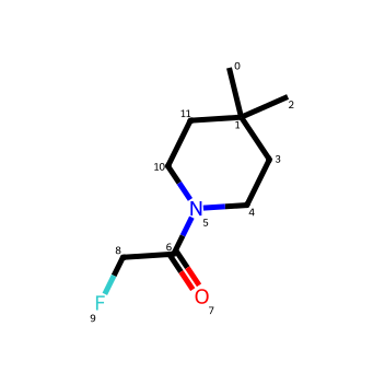 CC1(C)CCN(C(=O)CF)CC1